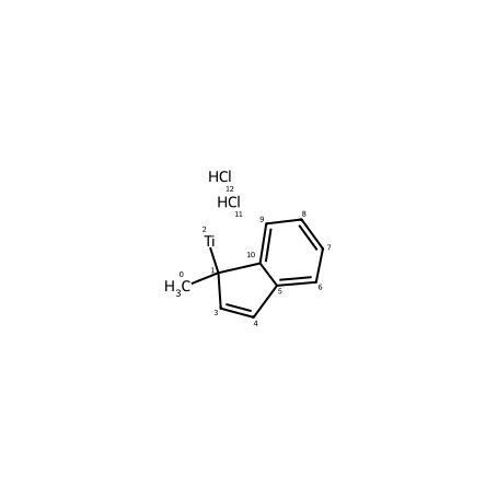 C[C]1([Ti])C=Cc2ccccc21.Cl.Cl